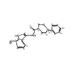 O=C(Nc1c[nH]c2c(Br)cccc12)N1CCN(c2ccccc2)CC1